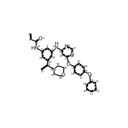 C=CC(=O)Nc1cc(Nc2cc(Oc3ccc(Oc4ccccc4)cc3)ncn2)cc(C(=C)N2CCOCC2)c1